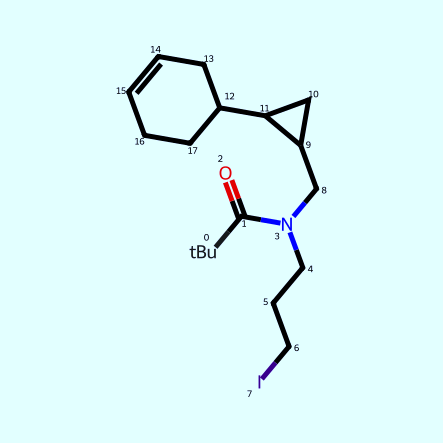 CC(C)(C)C(=O)N(CCCI)CC1CC1C1CC=CCC1